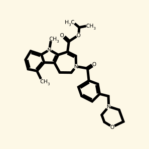 Cc1cccc2c1c1c(n2C)C(C(=O)OC(C)C)=CN(C(=O)c2cccc(CN3CCOCC3)c2)CC1